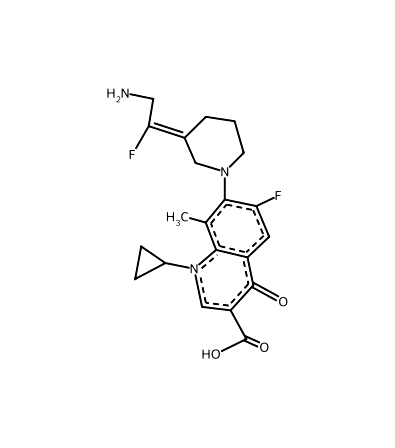 Cc1c(N2CCCC(=C(F)CN)C2)c(F)cc2c(=O)c(C(=O)O)cn(C3CC3)c12